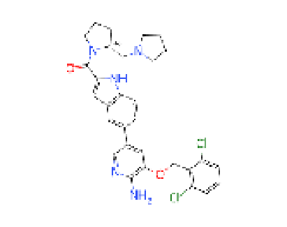 Nc1ncc(-c2ccc3[nH]c(C(=O)N4CCC[C@@H]4CN4CCCC4)cc3c2)cc1OCc1c(Cl)cccc1Cl